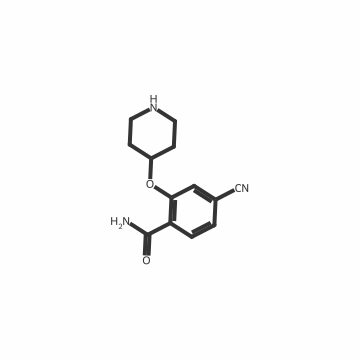 N#Cc1ccc(C(N)=O)c(OC2CCNCC2)c1